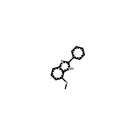 CSc1cccc2nc(-c3ccccc3)[nH]c12